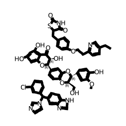 CCc1ccc(CCOc2ccc(CC3SC(=O)NC3=O)cc2)nc1.COc1cc([C@H]2Oc3cc([C@H]4Oc5cc(O)cc(O)c5C(=O)[C@@H]4O)ccc3O[C@@H]2CO)ccc1O.Clc1cccc(C(c2ccc3[nH]cnc3c2)n2ccnc2)c1